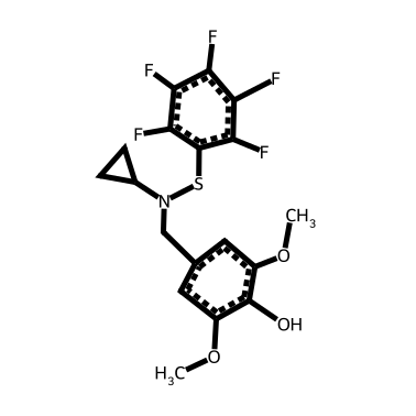 COc1cc(CN(Sc2c(F)c(F)c(F)c(F)c2F)C2CC2)cc(OC)c1O